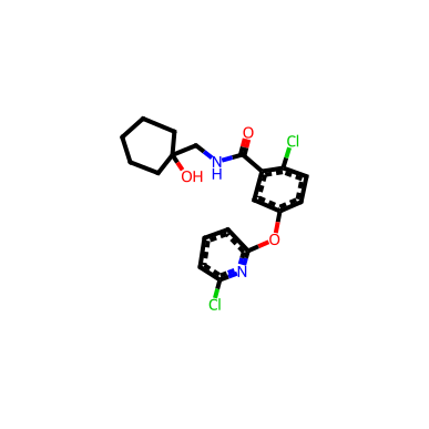 O=C(NCC1(O)CCCCC1)c1cc(Oc2cccc(Cl)n2)ccc1Cl